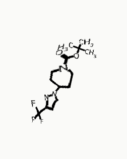 CC(C)(C)OC(=O)N1CCC(n2ccc(C(F)(F)F)n2)CC1